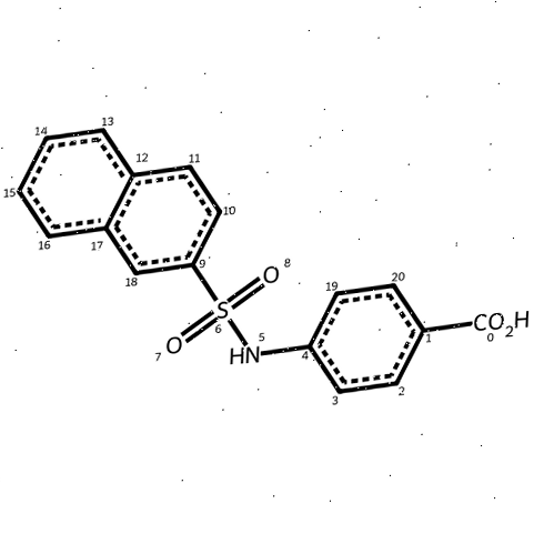 O=C(O)c1ccc(NS(=O)(=O)c2ccc3ccccc3c2)cc1